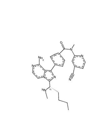 CCCC[C@H](NC)c1nc(-c2ccc(C(=O)N(C)c3cc(C#N)ccn3)cc2)c2c(N)nccn12